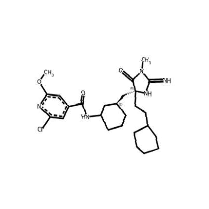 COc1cc(C(=O)NC2CCC[C@H](C[C@@]3(CCC4CCCCC4)NC(=N)N(C)C3=O)C2)cc(Cl)n1